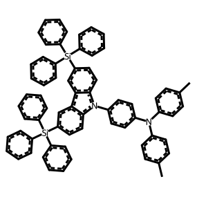 Cc1ccc(N(c2ccc(C)cc2)c2ccc(-n3c4ccc([Si](c5ccccc5)(c5ccccc5)c5ccccc5)cc4c4cc([Si](c5ccccc5)(c5ccccc5)c5ccccc5)ccc43)cc2)cc1